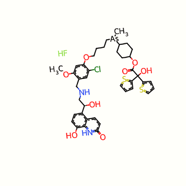 COc1cc(OCCCC[As](C)C2CCC(OC(=O)C(O)(c3cccs3)c3cccs3)CC2)c(Cl)cc1CNC[C@@H](O)c1ccc(O)c2[nH]c(=O)ccc12.F